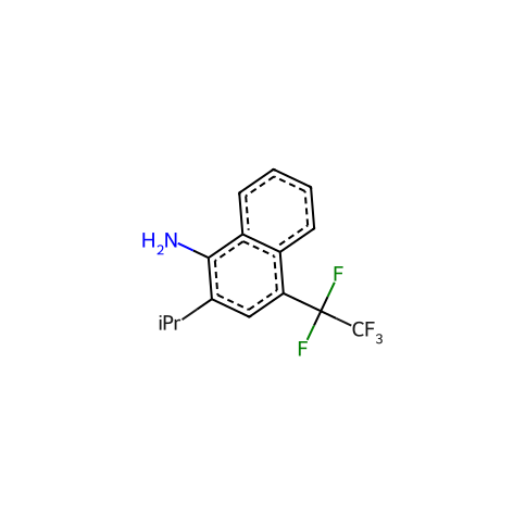 CC(C)c1cc(C(F)(F)C(F)(F)F)c2ccccc2c1N